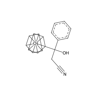 N#CCC(O)(c1ccccc1)[C]12[CH]3[CH]4[CH]5[CH]1[Os]45321678[CH]2[CH]1[CH]6[CH]7[CH]28